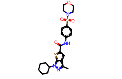 Cc1nn(C2CCCCC2)c2sc(C(=O)Nc3ccc(S(=O)(=O)N4CCOCC4)cc3)cc12